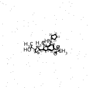 CC(O)[C@@H]1CSC(c2cc3cc(S(C)(=O)=O)cc(NC4CCCC4)c3n2C)=N1